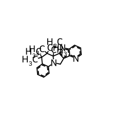 Cn1c2c(c3ncccc31)CN1c3ccccc3C(C)(C)C(C)(C)C21C